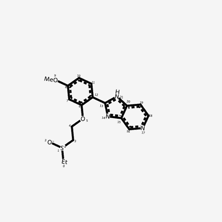 CC[S+]([O-])CCOc1cc(OC)ccc1-c1nc2cnccc2[nH]1